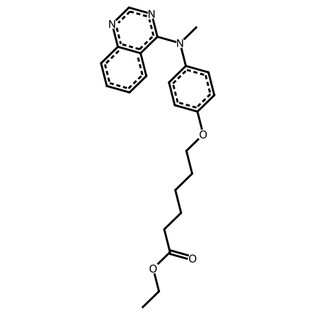 CCOC(=O)CCCCCOc1ccc(N(C)c2ncnc3ccccc23)cc1